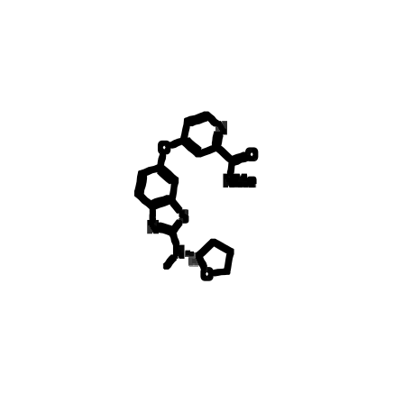 CNC(=O)c1cc(Oc2ccc3nc(N(C)[C@@H]4CCCO4)sc3c2)ccn1